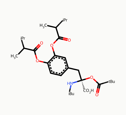 CCC(C)N[C@@](Cc1ccc(OC(=O)C(C)C(C)C)c(OC(=O)C(C)C(C)C)c1)(OC(=O)C(C)(C)C)C(=O)O